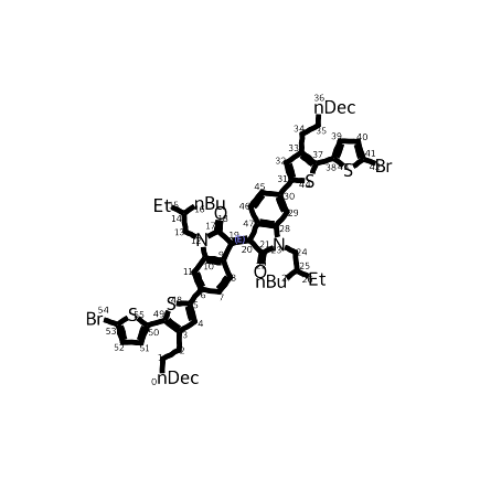 CCCCCCCCCCCCc1cc(-c2ccc3c(c2)N(CC(CC)CCCC)C(=O)/C3=C2/C(=O)N(CC(CC)CCCC)c3cc(-c4cc(CCCCCCCCCCCC)c(-c5ccc(Br)s5)s4)ccc32)sc1-c1ccc(Br)s1